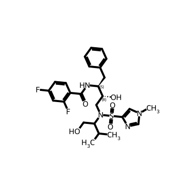 CC(C)C(CO)N(C[C@@H](O)[C@H](Cc1ccccc1)NC(=O)c1ccc(F)cc1F)S(=O)(=O)c1cn(C)cn1